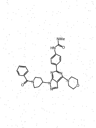 CNC(=O)Nc1ccc(-c2nc(N3CCOCC3)c3cnn(C4CCN(C(=O)c5ccccc5)CC4)c3n2)cc1